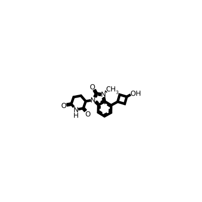 Cn1c(=O)n(C2CCC(=O)NC2=O)c2cccc(C3CC(O)C3)c21